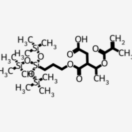 C=C(C)C(=O)OC(C)C(CC(=O)O)C(=O)OCCC[Si](O[Si](C)(C)C)(O[Si](C)(C)C)O[Si](C)(C)C